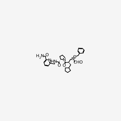 NC(=O)c1cccc(CNC(=O)[C@@H]2CCCN2C(=O)[C@H](CC2CCCC2)CN(C=O)OCc2ccccc2)n1